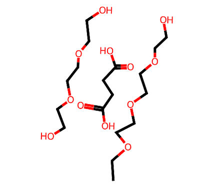 CCOCCOCCOCCO.O=C(O)CCC(=O)O.OCCOCCOCCO